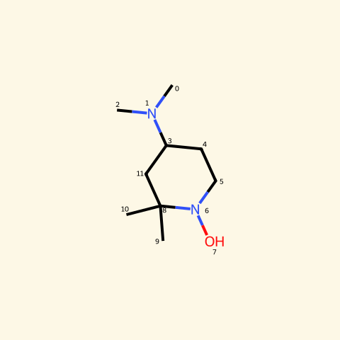 CN(C)C1CCN(O)C(C)(C)C1